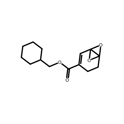 O=C(OCC1CCCCC1)C1=CC23OC2(CC1)O3